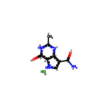 Cc1nc2c(C(N)=O)c[nH]c2c(=O)[nH]1.Cl